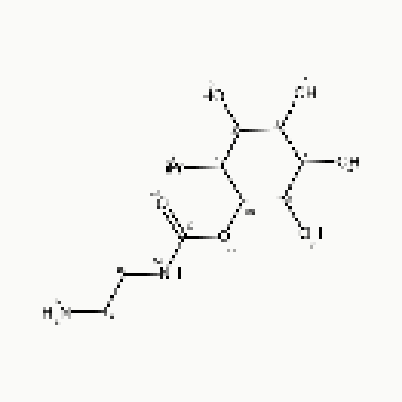 CC(C)C1C(O)C(O)C(O)C(O)C1OC(=O)NCCN